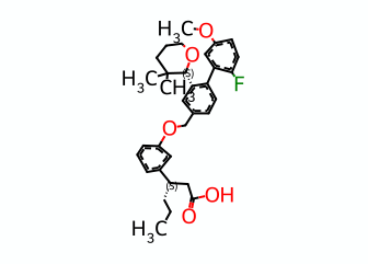 CCC[C@@H](CC(=O)O)c1cccc(OCc2ccc(-c3cc(OC)ccc3F)c([C@H]3OCCCC3(C)C)c2)c1